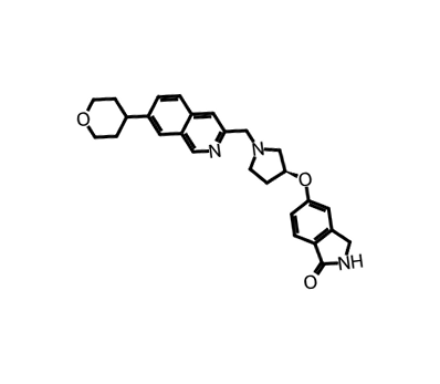 O=C1NCc2cc(O[C@H]3CCN(Cc4cc5ccc(C6CCOCC6)cc5cn4)C3)ccc21